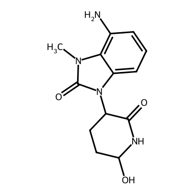 Cn1c(=O)n(C2CCC(O)NC2=O)c2cccc(N)c21